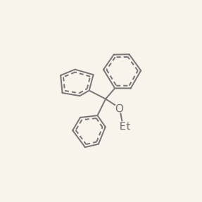 CCOC(c1ccccc1)(c1ccccc1)c1ccccc1